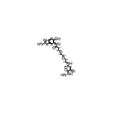 CCCNC(=O)/C(Br)=C\C(=O)NCCOCCOCCC(=O)Nc1cc(C[C@H](N)CCC)ccc1O